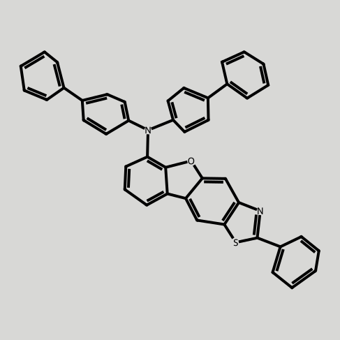 c1ccc(-c2ccc(N(c3ccc(-c4ccccc4)cc3)c3cccc4c3oc3cc5nc(-c6ccccc6)sc5cc34)cc2)cc1